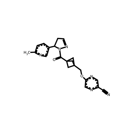 Cc1ccc(C2CC=NN2C(=O)C23CC(COc4cnc(C#N)cn4)(C2)C3)cn1